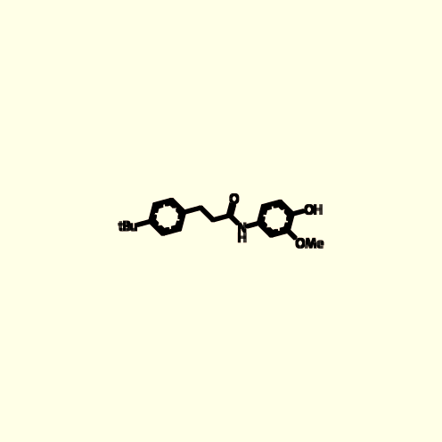 COc1cc(NC(=O)CCc2ccc(C(C)(C)C)cc2)ccc1O